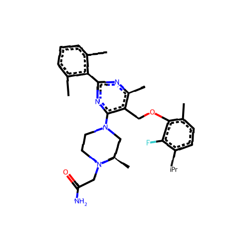 Cc1ccc(C(C)C)c(F)c1OCc1c(C)nc(-c2c(C)cccc2C)nc1N1CCN(CC(N)=O)[C@H](C)C1